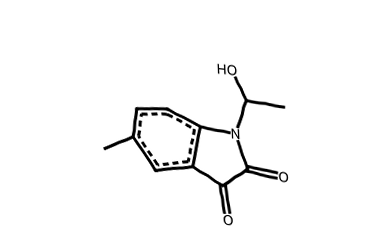 Cc1ccc2c(c1)C(=O)C(=O)N2C(C)O